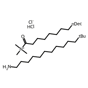 CC(C)(C)CCCCCCCCCCCN.CCCCCCCCCCCCCCCCCC(=O)[N+](C)(C)C.Cl.[Cl-]